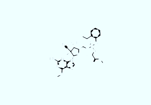 CCc1ccccc1OP(=O)(N[C@@H](C)C(=O)OC)OC[C@H]1O[C@@H](n2cnc3c(OC)nc(N)nc32)[C@](C)(C#N)[C@@H]1O